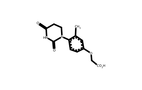 Cc1cc(OCC(=O)O)ccc1N1CCC(=O)NC1=O